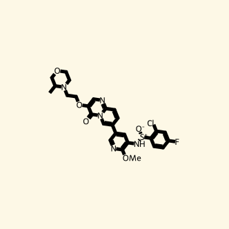 COc1ncc(-c2ccc3ncc(OCCN4CCOCC4C)c(=O)n3c2)cc1N[S+]([O-])c1ccc(F)cc1Cl